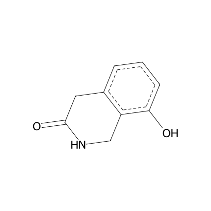 O=C1Cc2cccc(O)c2CN1